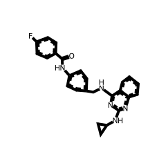 O=C(Nc1ccc(CNc2nc(NC3CC3)nc3ccccc23)cc1)c1ccc(F)cc1